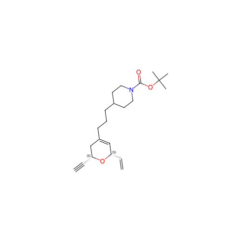 C#C[C@@H]1CC(CCCC2CCN(C(=O)OC(C)(C)C)CC2)=C[C@H](C=C)O1